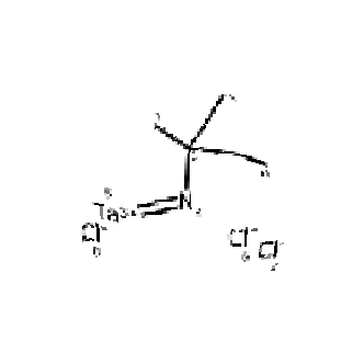 CC(C)(C)[N]=[Ta+3].[Cl-].[Cl-].[Cl-]